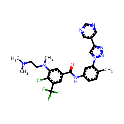 Cc1ccc(NC(=O)c2cc(N(C)CCN(C)C)c(Cl)c(C(F)(F)F)c2)cc1-n1cc(-c2cncnc2)nn1